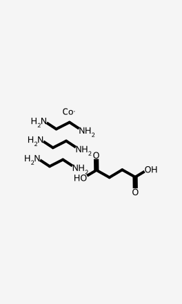 NCCN.NCCN.NCCN.O=C(O)CCC(=O)O.[Co]